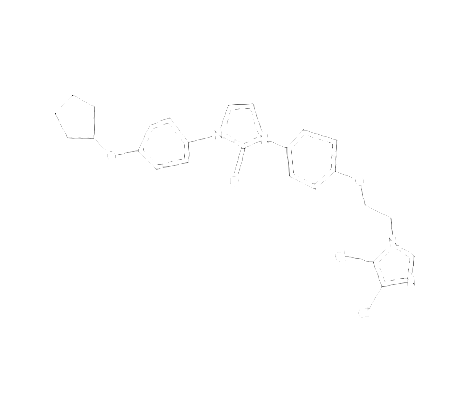 O=c1n(-c2ccc(OCCn3cnc(Cl)c3Cl)cc2)ccn1-c1ccc(OC2CCCC2)cc1